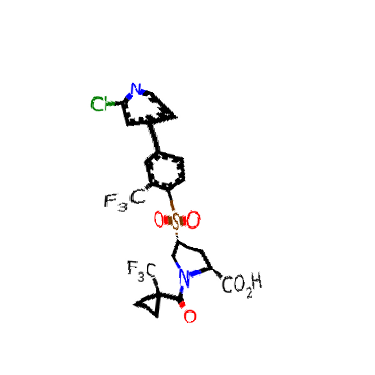 O=C(O)[C@@H]1C[C@@H](S(=O)(=O)c2ccc(-c3ccnc(Cl)c3)cc2C(F)(F)F)CN1C(=O)C1(C(F)(F)F)CC1